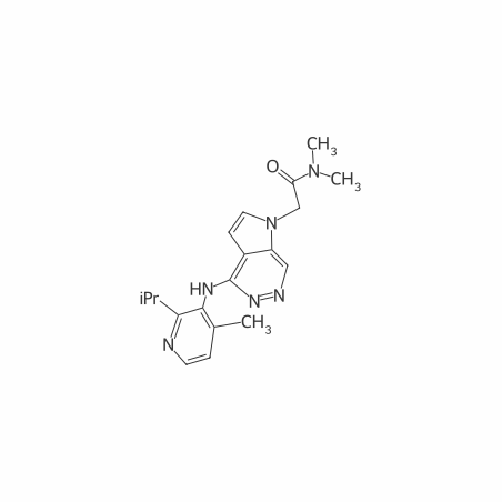 Cc1ccnc(C(C)C)c1Nc1nncc2c1ccn2CC(=O)N(C)C